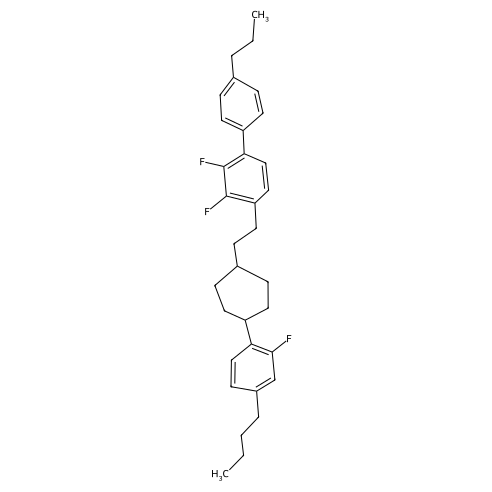 CCCCc1ccc(C2CCC(CCc3ccc(-c4ccc(CCC)cc4)c(F)c3F)CC2)c(F)c1